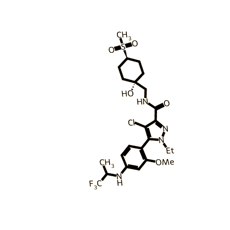 CCn1nc(C(=O)NC[C@]2(O)CC[C@H](S(C)(=O)=O)CC2)c(Cl)c1-c1ccc(NC(C)C(F)(F)F)cc1OC